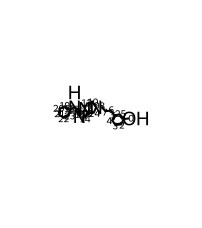 Oc1cccc(CCCN2CCn3c(cnc3Nc3ccccc3)C2)c1